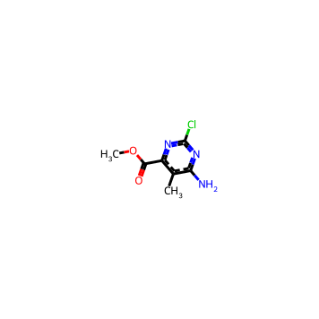 COC(=O)c1nc(Cl)nc(N)c1C